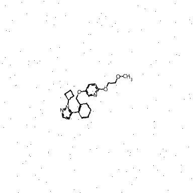 COCCOc1ccc(OCC2=C(c3ccnn3C3CCC3)CCCC2)cn1